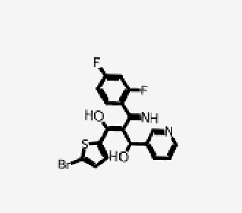 N=C(/C(=C(\O)c1ccc(Br)s1)C(O)c1cccnc1)c1ccc(F)cc1F